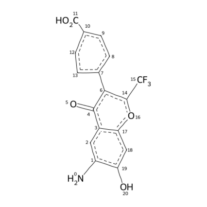 Nc1cc2c(=O)c(-c3ccc(C(=O)O)cc3)c(C(F)(F)F)oc2cc1O